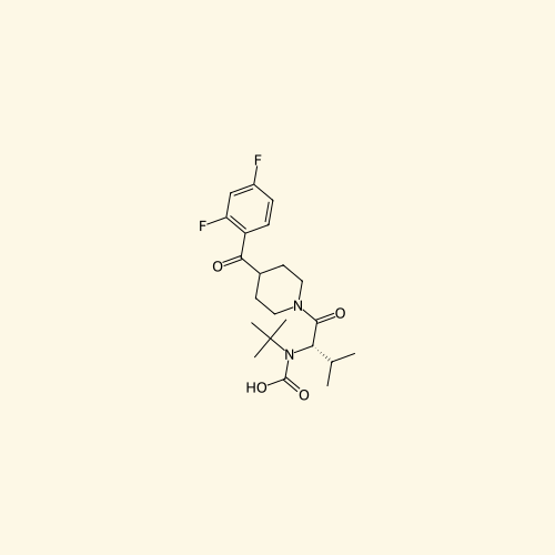 CC(C)[C@@H](C(=O)N1CCC(C(=O)c2ccc(F)cc2F)CC1)N(C(=O)O)C(C)(C)C